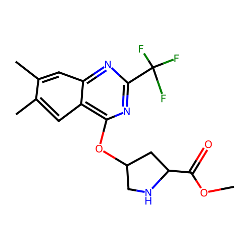 COC(=O)C1CC(Oc2nc(C(F)(F)F)nc3cc(C)c(C)cc23)CN1